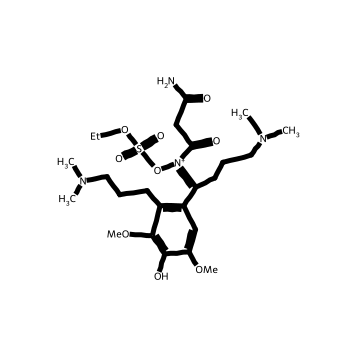 CCOS(=O)(=O)O[N+](C(=O)CC(N)=O)=C(CCCN(C)C)c1cc(OC)c(O)c(OC)c1CCCN(C)C